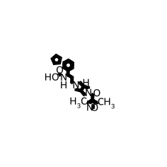 C1CCCC1.Cc1noc(C)c1C(=O)N1CC2CN(CCC(NC(=O)O)c3ccccc3)C[C@H]2C1